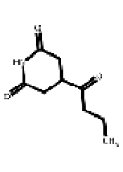 CCCC(=O)C1CC(=O)NC(=O)C1